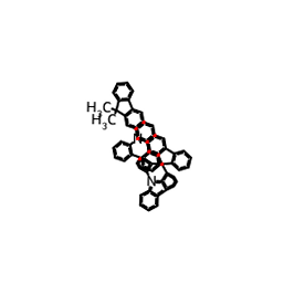 CC1(C)c2ccccc2-c2ccc(N(c3ccc4c(c3)C3(c5ccccc5-4)c4ccccc4-n4c5ccccc5c5cccc3c54)c3ccccc3-c3ccccc3-c3ccccc3)cc21